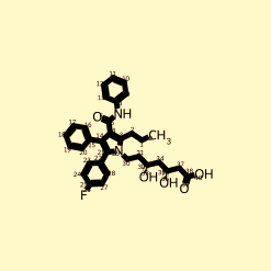 CCCc1c(C(=O)Nc2ccccc2)c(-c2ccccc2)c(-c2ccc(F)cc2)n1CC[C@@H](O)C[C@@H](O)CC(=O)O